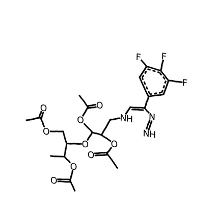 CC(=O)OCC(OC(OC(C)=O)C(CN/C=C(\N=N)c1cc(F)c(F)c(F)c1)OC(C)=O)C(C)OC(C)=O